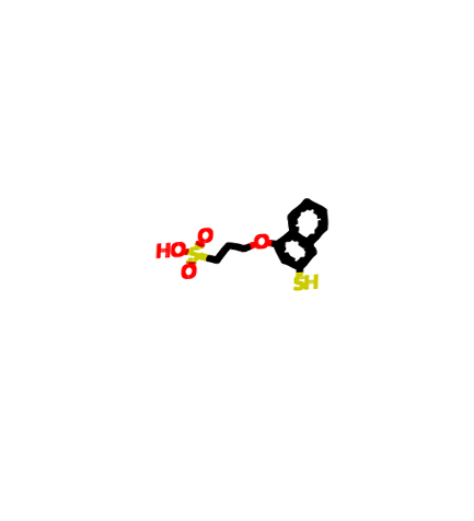 O=S(=O)(O)CCCOc1cc(S)cc2ccccc12